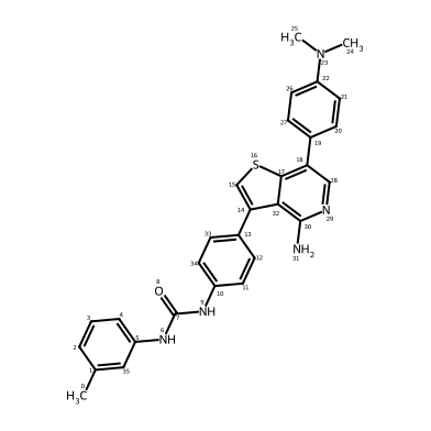 Cc1cccc(NC(=O)Nc2ccc(-c3csc4c(-c5ccc(N(C)C)cc5)cnc(N)c34)cc2)c1